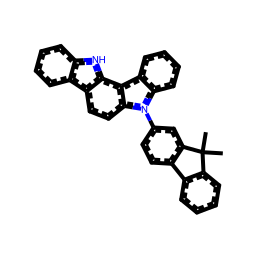 CC1(C)c2ccccc2-c2ccc(-n3c4ccccc4c4c5[nH]c6ccccc6c5ccc43)cc21